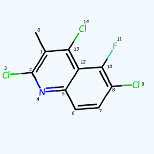 Cc1c(Cl)nc2ccc(Cl)c(F)c2c1Cl